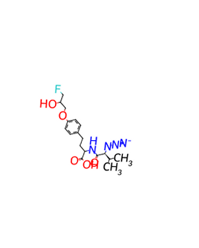 CC(C)[C@H](N=[N+]=[N-])C(=O)NC(CCc1ccc(OCC(O)CF)cc1)C(=O)O